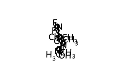 Cc1cnc(-c2ccnc(C(C)(C)O)n2)cc1-n1c(C)cc(SCc2ncc(F)cc2F)c(Cl)c1=O